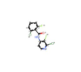 O=C(Nc1ccnc(Cl)c1F)c1c(F)cccc1Cl